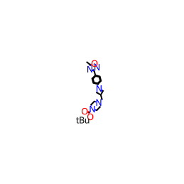 Cc1nc(-c2ccc(N3CC(CN4CCN(C(=O)OC(C)(C)C)CC4)C3)cc2)no1